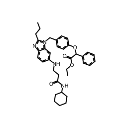 CCCc1nc2ccc(NCCC(=O)NC3CCCCC3)cc2n1Cc1ccc(OC(C(=O)OCC)c2ccccc2)cc1